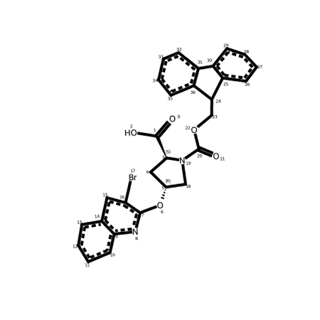 O=C(O)[C@@H]1C[C@@H](Oc2nc3ccccc3cc2Br)CN1C(=O)OCC1c2ccccc2-c2ccccc21